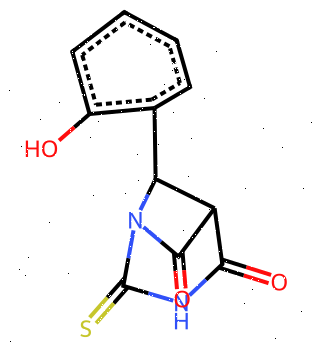 O=C1NC(=S)N2C(=O)C1C2c1ccccc1O